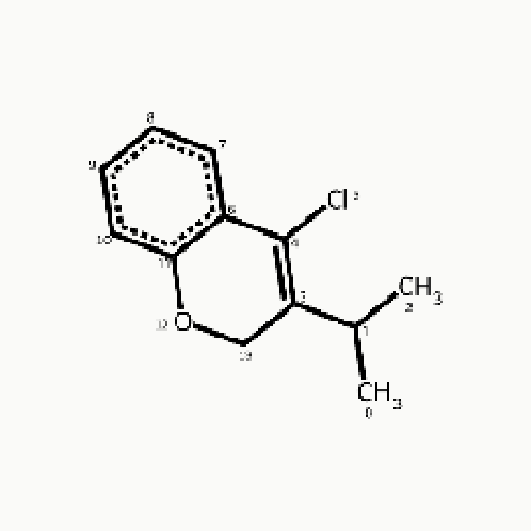 CC(C)C1=C(Cl)c2ccccc2OC1